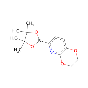 CC1(C)OB(c2ccc3c(n2)OCCO3)OC1(C)C